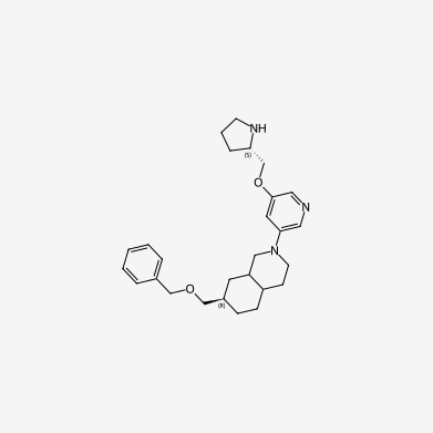 c1ccc(COC[C@@H]2CCC3CCN(c4cncc(OC[C@@H]5CCCN5)c4)CC3C2)cc1